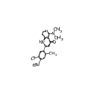 Cc1cc(C(C)(C)C)c(Cl)cc1-c1cc(=O)c2c(N(C)C)nccc2[nH]1